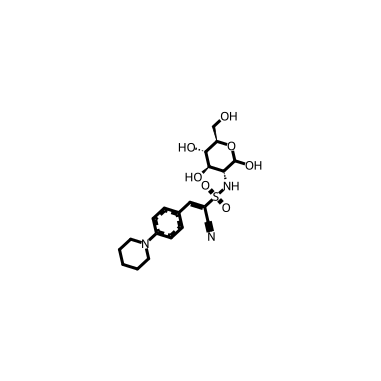 N#C/C(=C\c1ccc(N2CCCCC2)cc1)S(=O)(=O)N[C@H]1C(O)O[C@H](CO)[C@@H](O)[C@@H]1O